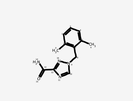 Cc1cccc(C)c1Cn1cnc(C(N)=O)n1